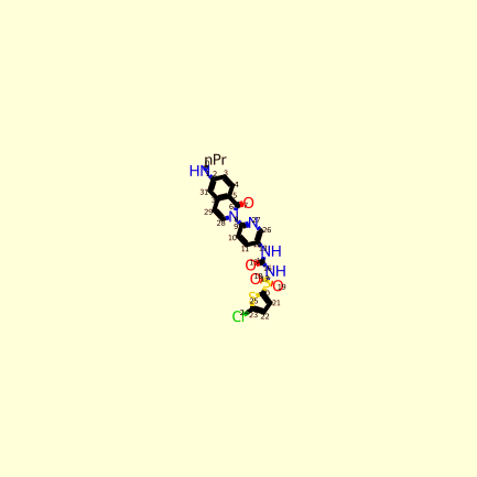 CCCNc1ccc2c(=O)n(-c3ccc(NC(=O)NS(=O)(=O)c4ccc(Cl)s4)cn3)ccc2c1